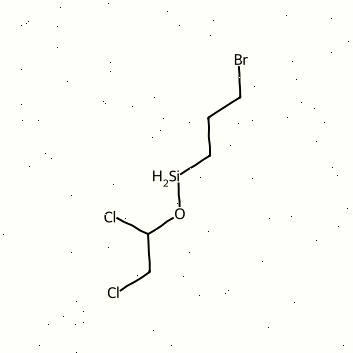 ClCC(Cl)O[SiH2]CCCBr